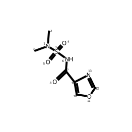 CN(C)S(=O)(=O)NC(=O)c1co[c]n1